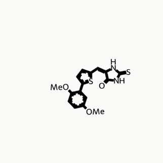 COc1ccc(OC)c(-c2ccc(C=C3NC(=S)NC3=O)s2)c1